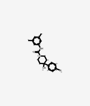 Cc1cc(C)cc(NC(=O)N2CCC(O)(c3ccc(Br)cc3)CC2)c1